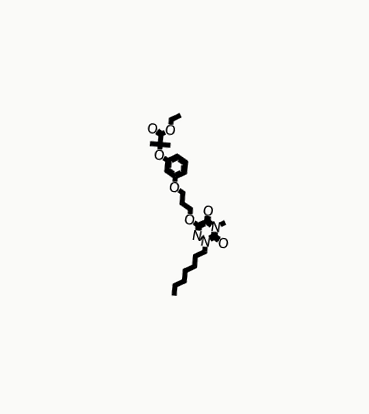 CCCCCCCn1nc(OCCCOc2cccc(OC(C)(C)C(=O)OCC)c2)c(=O)n(C)c1=O